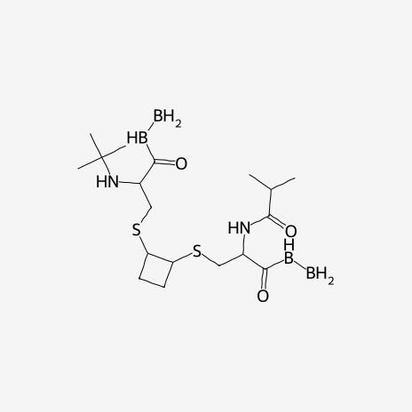 BBC(=O)C(CSC1CCC1SCC(NC(C)(C)C)C(=O)BB)NC(=O)C(C)C